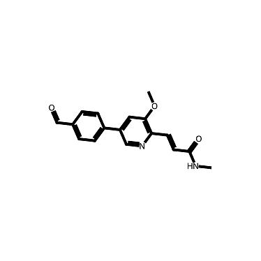 CNC(=O)C=Cc1ncc(-c2ccc(C=O)cc2)cc1OC